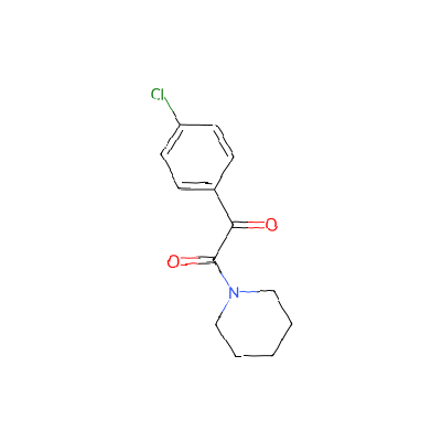 O=C(C(=O)N1CCCCC1)c1ccc(Cl)cc1